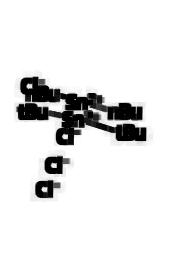 CCC[CH2][Sn+2][CH2]CCC.C[C](C)(C)[Sn+2][C](C)(C)C.[Cl-].[Cl-].[Cl-].[Cl-]